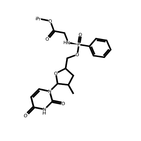 CC(C)OC(=O)CN[P@](=O)(OCC1CC(C)C(n2ccc(=O)[nH]c2=O)O1)c1ccccc1